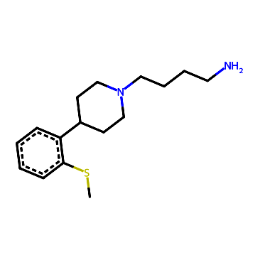 CSc1ccccc1C1CCN(CCCCN)CC1